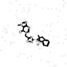 Cn1cnc2ncn(Cc3nc([C@H]4[C@@H]5c6ccccc6CC45C)no3)c(=O)c21